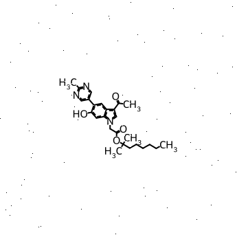 CCCCCCC(C)(C)OC(=O)Cn1cc(C(C)=O)c2cc(-c3cnc(C)nc3)c(O)cc21